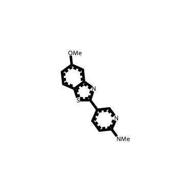 CNc1ccc(-c2nc3cc(OC)ccc3s2)cn1